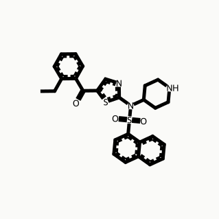 CCc1ccccc1C(=O)c1cnc(N(C2CCNCC2)S(=O)(=O)c2cccc3ccccc23)s1